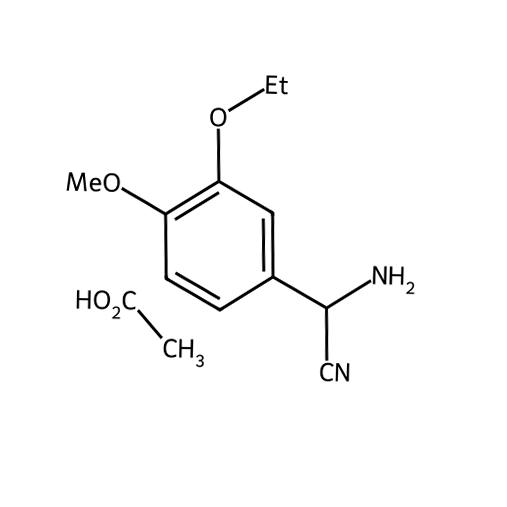 CC(=O)O.CCOc1cc(C(N)C#N)ccc1OC